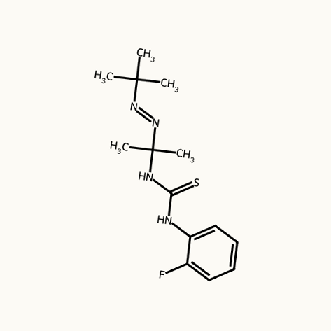 CC(C)(C)/N=N/C(C)(C)NC(=S)Nc1ccccc1F